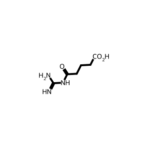 N=C(N)NC(=O)CCCC(=O)O